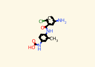 Cc1cc(NC(=O)O)ccc1NC(=O)c1cc(N)ccc1Cl